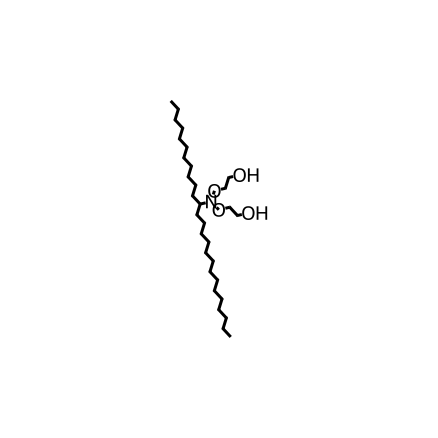 CCCCCCCCCCCCCCC(CCCCCCCCCCC)N(OCCO)OCCO